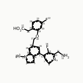 CC(C)n1ccc2c(-c3ccnc(CN)c3F)cc(COc3cc(F)ccc3CC(=O)O)cc21